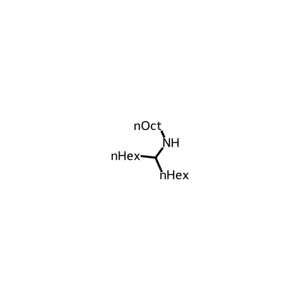 CCCCCCCCNC(CCCCCC)CCCCCC